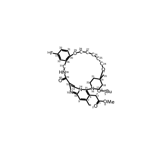 COC(=O)[C@@H](OC(C)(C)C)c1c(C)cc2nc3cn2c1N1CCC(C)(CC1)OCCCCCOc1ccc(F)cc1CNC3=O